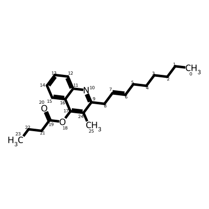 CCCCCCC=CCc1nc2ccccc2c(OC(=O)CCC)c1C